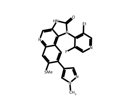 CCc1cncc(F)c1-n1c(=O)[nH]c2cnc3cc(SC)c(-c4cnn(C)c4)cc3c21